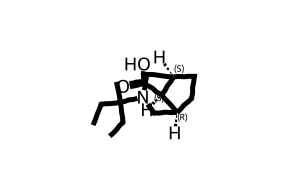 CCC(C)(CC)N1C[C@H]2CC[C@@H](C1)[C@H]2C(=O)O